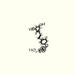 O=S(=O)(O)OS(=O)(=O)Oc1ccc(/C=C/c2cc(O)cc(O)c2)cc1